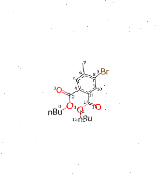 CCCCOC(=O)c1cc(C)c(Br)cc1C(=O)OCCCC